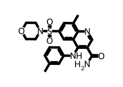 Cc1cccc(Nc2c(C(N)=O)cnc3c(C)cc(S(=O)(=O)N4CCOCC4)cc23)c1